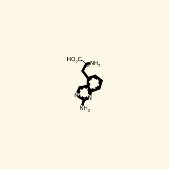 Nc1ncc2c(C[C@@H](N)C(=O)O)cccc2n1